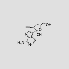 C#C[C@H]1C[C@@H](CO)O[C@@]1(C#N)c1cnc2c(N)ncnn12